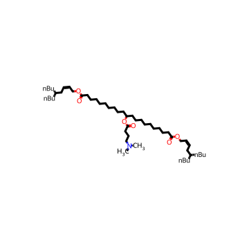 CCCCC(C/C=C\COC(=O)CCCCCCCCCC(CCCCCCCCCC(=O)OC/C=C\CC(CCCC)CCCC)OC(=O)CCCN(C)C)CCCC